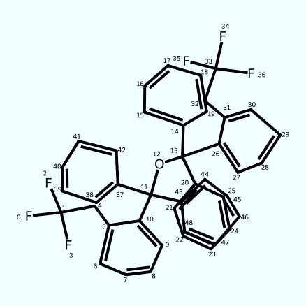 FC(F)(F)Cc1ccccc1C(OC(c1ccccc1)(c1ccccc1)c1ccccc1CC(F)(F)F)(c1ccccc1)c1ccccc1